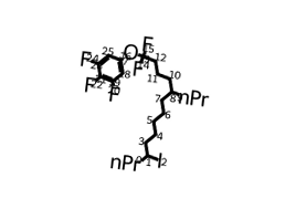 CCCC(I)CCCCCC(CCC)CCCC(F)(F)Oc1cc(F)c(F)c(F)c1